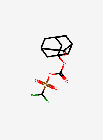 O=C(OC12CC3CC(C1)C(=O)C(C3)C2)OS(=O)(=O)C(F)F